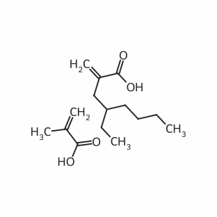 C=C(C)C(=O)O.C=C(CC(CC)CCCC)C(=O)O